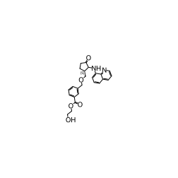 O=C(OCCO)c1cccc(COC[C@H]2CCC(=O)C2Nc2cccc3cccnc23)c1